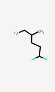 CC(CC[C](F)F)CC(F)(F)F